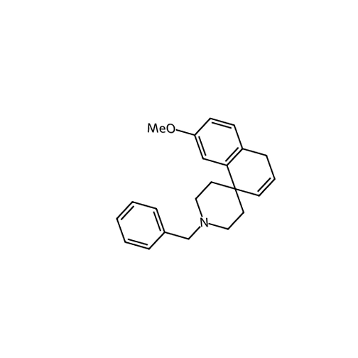 COc1ccc2c(c1)C1(C=CC2)CCN(Cc2ccccc2)CC1